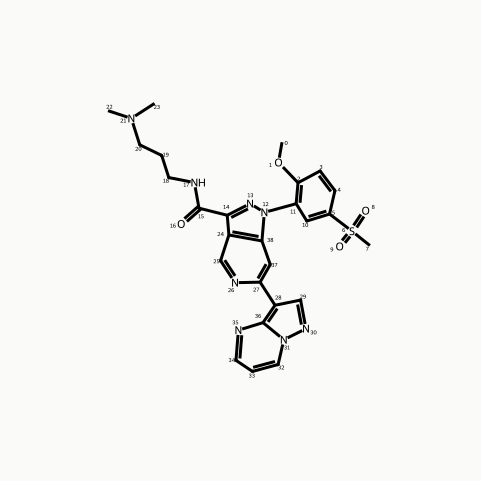 COc1ccc(S(C)(=O)=O)cc1-n1nc(C(=O)NCCCN(C)C)c2cnc(-c3cnn4cccnc34)cc21